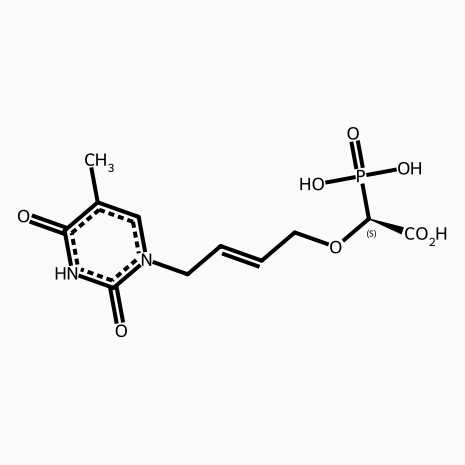 Cc1cn(CC=CCO[C@H](C(=O)O)P(=O)(O)O)c(=O)[nH]c1=O